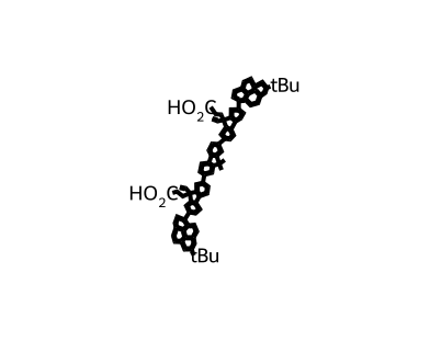 C=CC1(CCC(=O)O)c2cc(-c3ccc4c(c3)C(C)(C)c3cc(-c5ccc6c(c5)C(C=C)(CCC(=O)O)c5cc(-c7ccc8ccc9cc(C(C)(C)C)cc%10ccc7c8c9%10)ccc5-6)ccc3-4)ccc2-c2ccc(-c3ccc4ccc5cc(C(C)(C)C)cc6ccc3c4c56)cc21